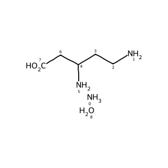 N.NCCC(N)CC(=O)O.O